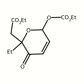 CCOC(=O)CC1(CC)OC(OC(=O)OCC)C=CC1=O